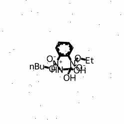 CCCCO[N+]1([O-])NC(O)(O)[N+]([O-])(OCC)c2ccccc21